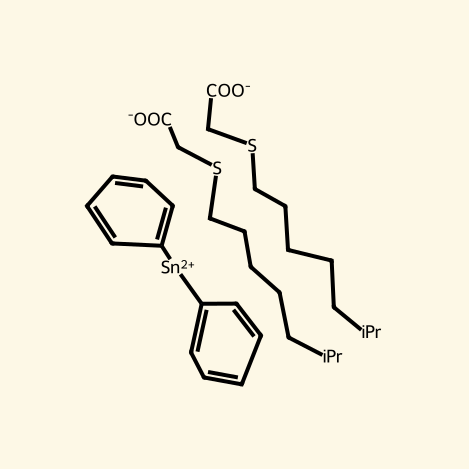 CC(C)CCCCCSCC(=O)[O-].CC(C)CCCCCSCC(=O)[O-].c1cc[c]([Sn+2][c]2ccccc2)cc1